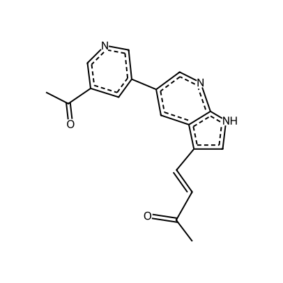 CC(=O)/C=C/c1c[nH]c2ncc(-c3cncc(C(C)=O)c3)cc12